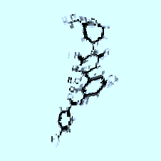 Cc1ccc(C(=O)Nc2cccc([C@]3(C)CC(=O)N([C@@H]4CCO[C@H](C)C4)C(=N)N3)c2Cl)nn1.Cl